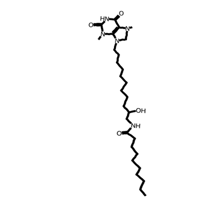 CCCCCCCCCC(=O)NCC(O)CCCCCCCCCN1CN(C)c2c1n(C)c(=O)[nH]c2=O